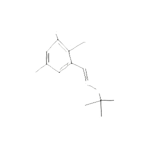 CC(C)(C)[S@@+]([O-])N=Cc1cc(F)cc(Br)c1F